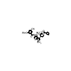 COc1cc(C#N)cc(C(=O)Nc2cnc3c(c([C@@H]4CCN(C(=O)C5CCCC5)C(C)(C)C4)cn3C)c2C)c1